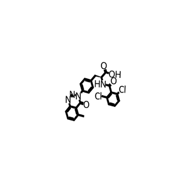 Cc1cccc2nnn(-c3ccc(C[C@H](NC(=O)c4c(Cl)cccc4Cl)C(=O)O)cc3)c(=O)c12